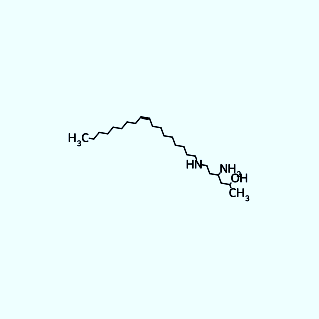 CCCCCCCC/C=C\CCCCCCCCNCCC(N)CC(C)O